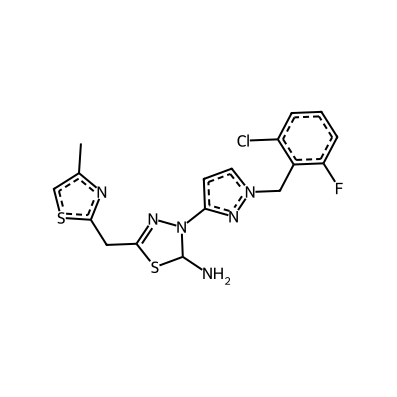 Cc1csc(CC2=NN(c3ccn(Cc4c(F)cccc4Cl)n3)C(N)S2)n1